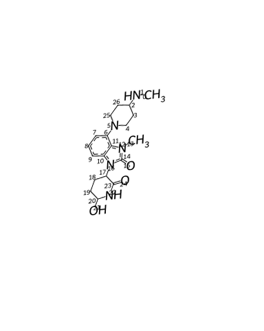 CNC1CCN(c2cccc3c2n(C)c(=O)n3C2CCC(O)NC2=O)CC1